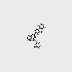 C[C@@H]1CN(c2ccc(-c3cc4nccnc4c(NC[C@@H]4CNCCO4)n3)cc2F)CCO1